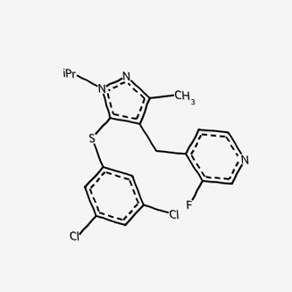 Cc1nn(C(C)C)c(Sc2cc(Cl)cc(Cl)c2)c1Cc1ccncc1F